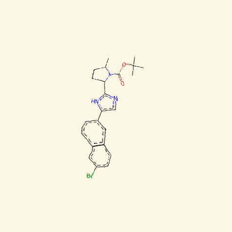 CC1CCC(c2ncc(-c3ccc4cc(Br)ccc4c3)[nH]2)N1C(=O)OC(C)(C)C